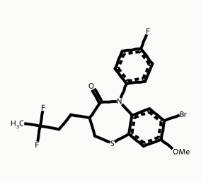 COc1cc2c(cc1Br)N(c1ccc(F)cc1)C(=O)C(CCC(C)(F)F)CS2